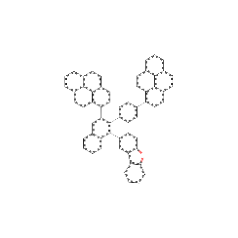 c1ccc2c(-c3ccc4oc5ccccc5c4c3)c(-c3ccc(-c4ccc5ccc6cccc7ccc4c5c67)cc3)c(-c3ccc4ccc5cccc6ccc3c4c56)cc2c1